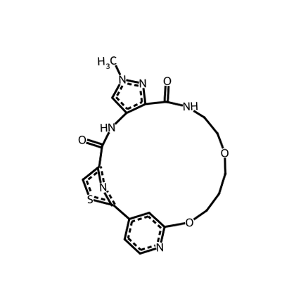 Cn1cc2c(n1)C(=O)NCCOCCCOc1cc(ccn1)-c1nc(cs1)C(=O)N2